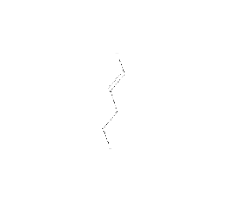 F/C=C/CCF